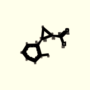 Cc1ccccc1[C@@H]1C[C@H]1C(=O)Cl